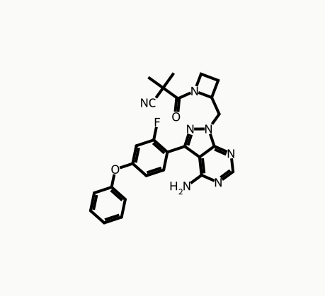 CC(C)(C#N)C(=O)N1CCC1Cn1nc(-c2ccc(Oc3ccccc3)cc2F)c2c(N)ncnc21